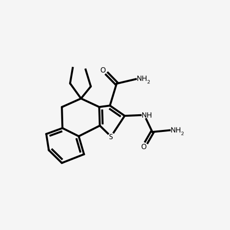 CCC1(CC)Cc2ccccc2-c2sc(NC(N)=O)c(C(N)=O)c21